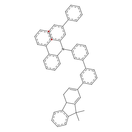 CC1(C)C2=CC(c3cccc(-c4cccc(N(c5cccc(-c6ccccc6)c5)c5ccccc5-c5ccccc5)c4)c3)=CCC2c2ccccc21